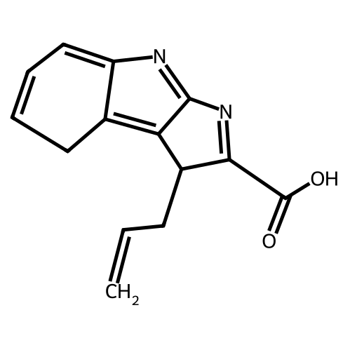 C=CCC1C(C(=O)O)=NC2=NC3=CC=CCC3=C21